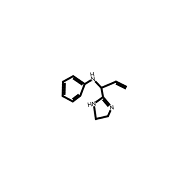 C=CC(Nc1ccccc1)C1=NCCN1